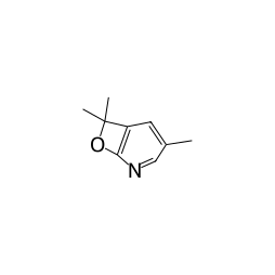 Cc1cnc2c(c1)C(C)(C)O2